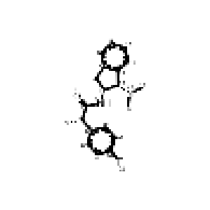 C[C@H](C(=O)N[C@H]1Cc2ccccc2[C@@H]1N(C)C)c1ccc(F)cc1